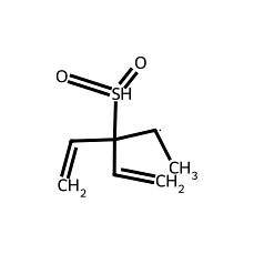 C=CC([CH]C)(C=C)[SH](=O)=O